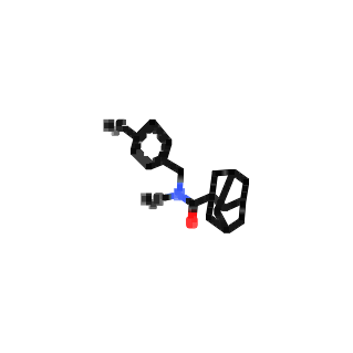 Cc1ccc(CN(C)C(=O)C23CC4CC(CC(C4)C2)C3)cc1